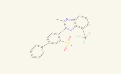 Cc1nc2cccc(C(F)(F)F)c2nc1-c1ccc(-c2ccccc2)cc1S(C)(=O)=O